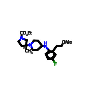 CCOC(=O)N1CC[C@@](C)(N2CCC(Nc3ccc(F)cc3CCOC)CC2)C1